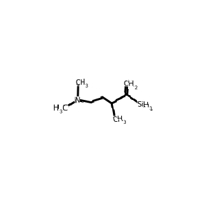 C=C([SiH3])C(C)CCN(C)C